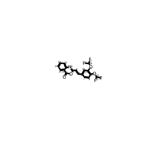 O=c1oc(/C=C/c2ccc(OC(F)F)c(OC(F)F)c2)nc2ccccc12